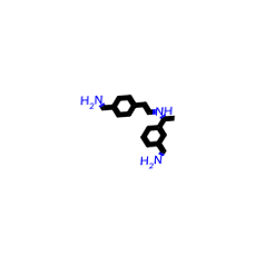 CC(NCCC1CCC(CN)CC1)C1CCCC(CN)C1